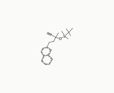 C#CC(C)(CCc1ccc2ccccc2c1)O[Si](C)(C)C(C)(C)C